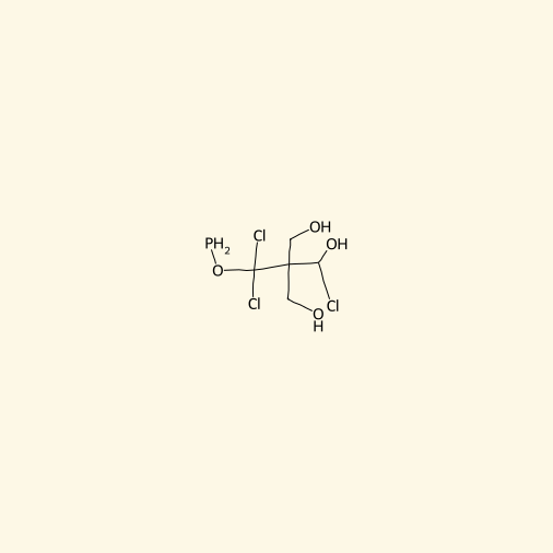 OCC(CO)(C(O)Cl)C(Cl)(Cl)OP